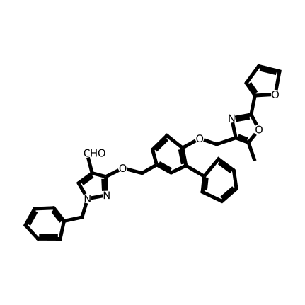 Cc1oc(-c2ccco2)nc1COc1ccc(COc2nn(Cc3ccccc3)cc2C=O)cc1-c1ccccc1